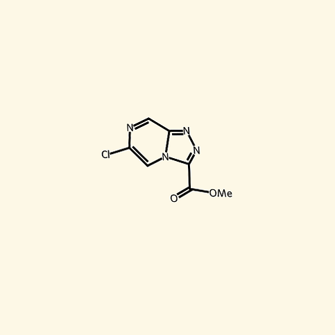 COC(=O)c1nnc2cnc(Cl)cn12